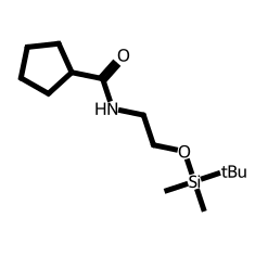 CC(C)(C)[Si](C)(C)OCCNC(=O)C1CCCC1